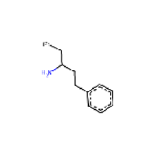 CC(C)CC(N)CCc1ccccc1